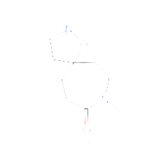 CN1CCC2(CC=NO2)CCC1=O